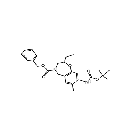 CC[C@@H]1CN(C(=O)OCc2ccccc2)Cc2cc(C)c(NC(=O)OC(C)(C)C)cc2O1